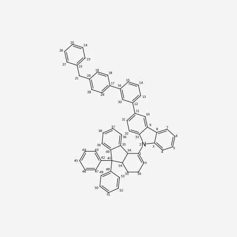 C1=C(n2c3ccccc3c3cc(-c4cccc(-c5ccc(Cc6ccccc6)cc5)c4)ccc32)C2c3ccccc3C(c3ccccc3)(c3ccccc3)C2CC1